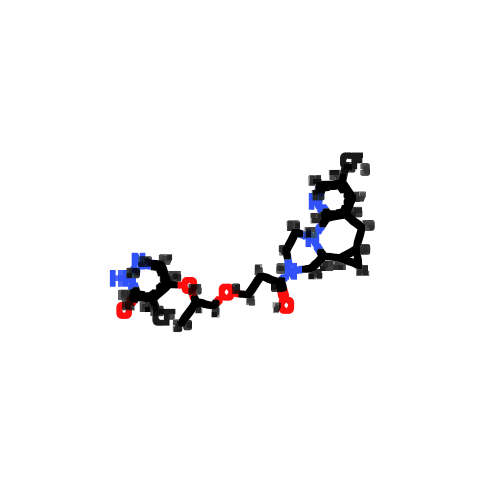 CC(COCCC(=O)N1CCN2c3ncc(C(F)(F)F)cc3CC3CC3C2C1)Oc1cn[nH]c(=O)c1C(F)(F)F